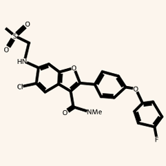 CNC(=O)c1c(-c2ccc(Oc3ccc(F)cc3)cc2)oc2cc(NCS(C)(=O)=O)c(Cl)cc12